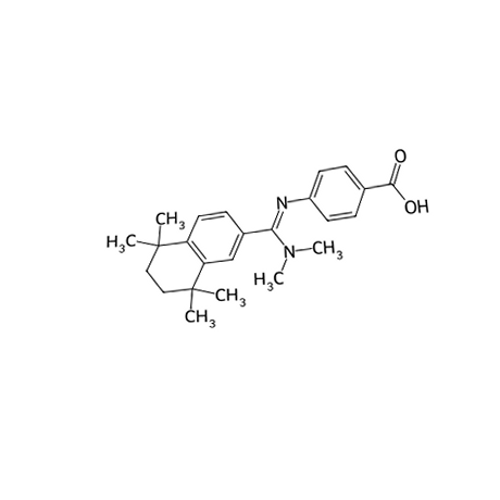 CN(C)C(=Nc1ccc(C(=O)O)cc1)c1ccc2c(c1)C(C)(C)CCC2(C)C